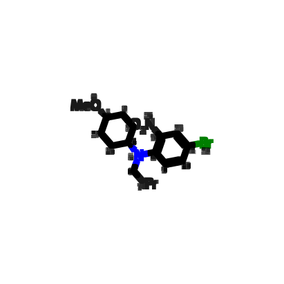 CO[C@H]1CC[C@@H](N(CC(C)C)c2ccc(Br)cc2[N+](=O)[O-])CC1